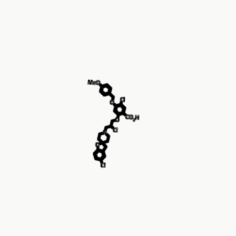 COc1ccc(COc2cc(OCC(Cl)CN3CCC4(CC3)Cc3cc(Cl)ccc3O4)c(C(=O)O)cc2Cl)cc1